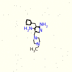 CCN1CCN(Cc2cnc(N)c(Cc3ccccc3)c2N)CC1